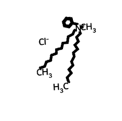 CCCCCCCCCCCCCC[N+](C)(CCCCCCCCCCCCCC)Cc1ccccc1.[Cl-]